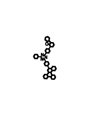 c1ccc(-c2nc(-c3ccc(-c4cc5c6ccccc6c6ccccc6c5c5ccccc45)cc3)nc(-c3ccc(-c4cccc5c4oc4ccccc45)cc3)n2)cc1